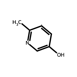 Cc1[c]cc(O)cn1